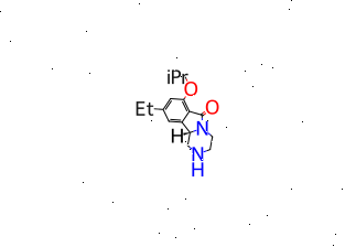 CCc1cc(OC(C)C)c2c(c1)[C@H]1CNCCN1C2=O